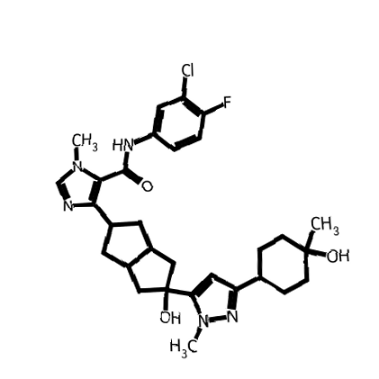 Cn1cnc(C2CC3CC(O)(c4cc(C5CCC(C)(O)CC5)nn4C)CC3C2)c1C(=O)Nc1ccc(F)c(Cl)c1